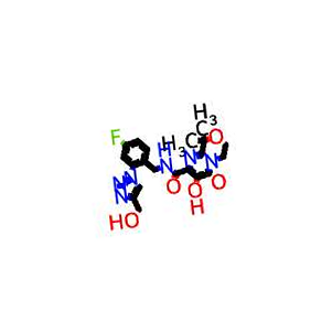 CC1(C)OCCn2c1nc(C(=O)NCc1ccc(F)cc1-n1cc(CO)nn1)c(O)c2=O